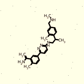 C=C(N)c1cc(-c2ccc(NCC(C)c3ccc(CNC)cc3C)nn2)ccc1C